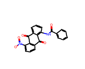 O=C(Nc1cccc2c1C(=O)c1cccc([N+](=O)[O-])c1C2=O)c1ccccc1